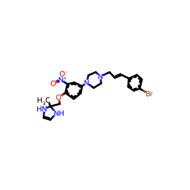 CC1(COc2ccc(N3CCN(CC=Cc4ccc(Br)cc4)CC3)cc2[N+](=O)[O-])NC=CN1